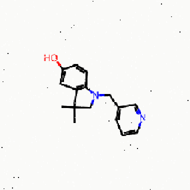 CC1(C)CN(Cc2cccnc2)c2ccc(O)cc21